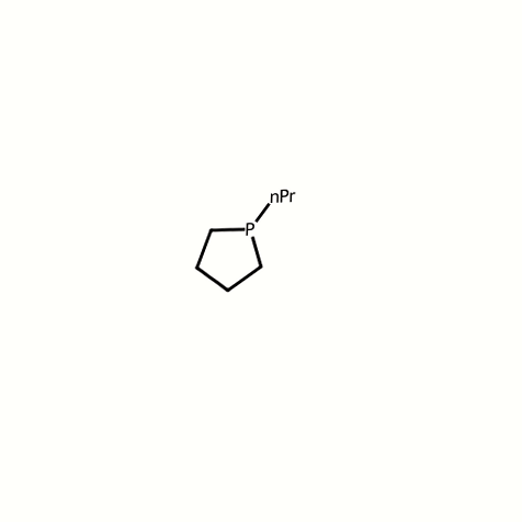 CCCP1CCCC1